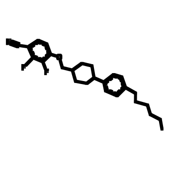 CCCCCCc1ccc(C2CCC(COc3ccc(C#N)c(F)c3F)CC2)cc1